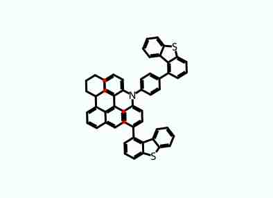 c1ccc(N(c2ccc(-c3cccc4sc5ccccc5c34)cc2)c2ccc(-c3cccc4sc5ccccc5c34)cc2)c(-c2cccc3cccc(C4CCCCC4)c23)c1